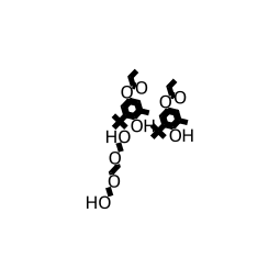 CCC(=O)Oc1cc(C)c(O)c(C(C)(C)C)c1.CCC(=O)Oc1cc(C)c(O)c(C(C)(C)C)c1.OCCOCCOCCO